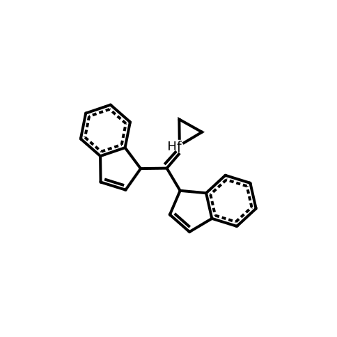 C1=CC([C](C2C=Cc3ccccc32)=[Hf]2[CH2][CH2]2)c2ccccc21